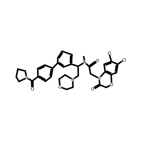 CN(C(=O)CN1C(=O)COc2cc(Cl)c(Cl)cc21)C(CN1CCOCC1)c1cccc(-c2ccc(C(=O)N3CCCC3)cc2)c1